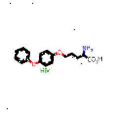 Br.NC(CCCOc1ccc(Oc2ccccc2)cc1)C(=O)O